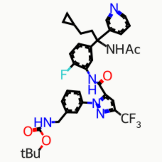 CC(=O)NC(CCC1CC1)(c1cccnc1)c1ccc(F)c(NC(=O)c2cc(C(F)(F)F)nn2-c2cccc(CNC(=O)OC(C)(C)C)c2)c1